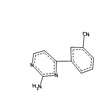 N#Cc1cccc(-c2ccnc(N)n2)c1